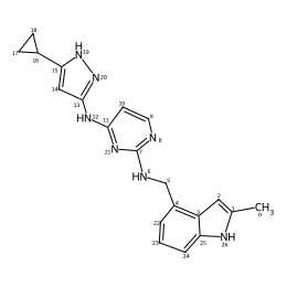 Cc1cc2c(CNc3nccc(Nc4cc(C5CC5)[nH]n4)n3)cccc2[nH]1